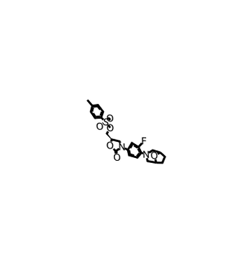 Cc1ccc(S(=O)(=O)OC[C@H]2CN(c3ccc(N4CC5CCC(C4)O5)c(F)c3)C(=O)O2)cc1